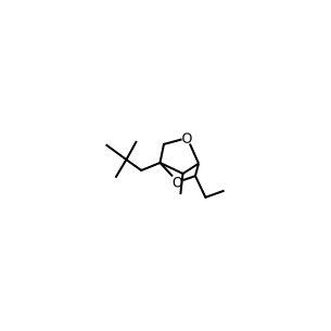 CCC1OC2(CC(C)(C)C)COC1C2C